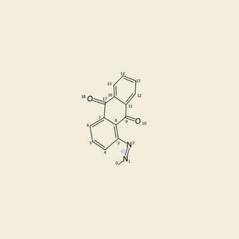 C/N=N\c1cccc2c1C(=O)c1ccccc1C2=O